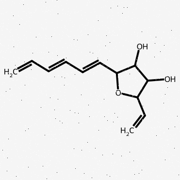 C=CC=C/C=C/C1OC(C=C)C(O)C1O